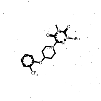 CCCCn1nc(N2CCC(Oc3ccccc3C(F)(F)F)CC2)c(=O)n(C)c1=O